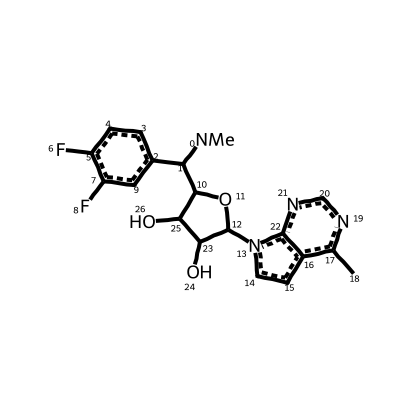 CNC(c1ccc(F)c(F)c1)C1OC(n2ccc3c(C)ncnc32)C(O)C1O